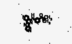 CN(C)C(=O)c1cccc(Nc2nc3c(c4c2=CC=NC4)N=c2ccncc2=3)c1